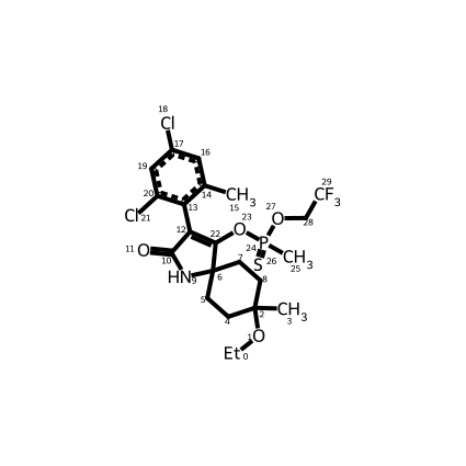 CCOC1(C)CCC2(CC1)NC(=O)C(c1c(C)cc(Cl)cc1Cl)=C2OP(C)(=S)OCC(F)(F)F